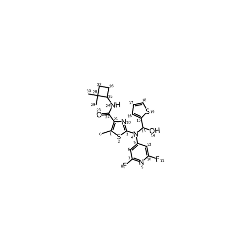 Cc1sc(N(c2cc(F)nc(F)c2)C(O)c2cccs2)nc1C(=O)NC1CCC1(C)C